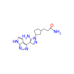 NC(=O)CCC1CCC(n2ncc(-c3ncnc4[nH]ccc34)c2N)C1